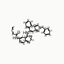 C=C=CC(=O)Nc1cc2c(Nc3cc4nn(Cc5ccccc5)cc4c4ccccc34)ncnc2cn1